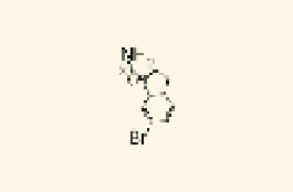 N[C@@H]1C[C@@]12CCc1ccc(Br)cc12